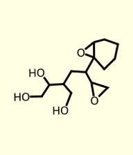 OCC(O)C(CO)CC(C1CO1)C12CCCCC1O2